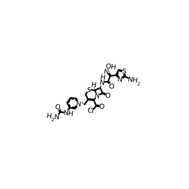 NC(=O)Nc1ccc[n+](CC2=C(C(=O)Cl)N3C(=O)[C@@H](NC(=O)C(=NO)c4csc(N)n4)[C@@H]3SC2)c1